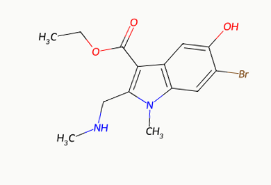 CCOC(=O)c1c(CNC)n(C)c2cc(Br)c(O)cc12